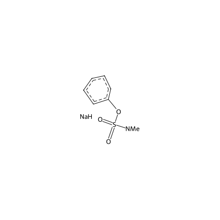 CNS(=O)(=O)Oc1ccccc1.[NaH]